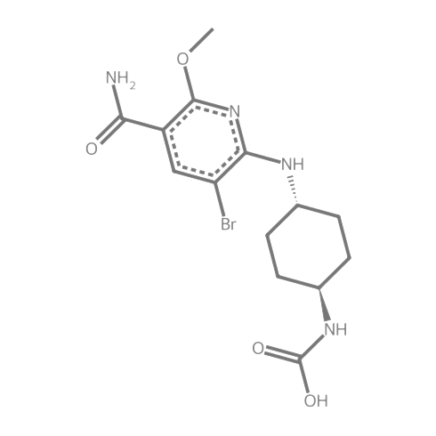 COc1nc(N[C@H]2CC[C@H](NC(=O)O)CC2)c(Br)cc1C(N)=O